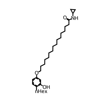 CCCCCCc1ccc(OCCCCCCCCCCCCCCCC(=O)NC2CC2)cc1O